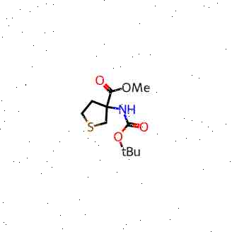 COC(=O)C1(NC(=O)OC(C)(C)C)CCSC1